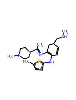 CNCC1C=CC(Nc2ccc(C)s2)=C(/N=C(\C)N2CCN(C)CC2)C1